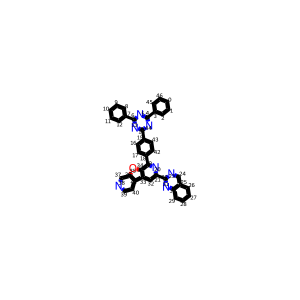 c1ccc(-c2nc(-c3ccccc3)nc(-c3ccc(-c4nc(-c5ncc6ccccc6n5)cc5c4oc4cnccc45)cc3)n2)cc1